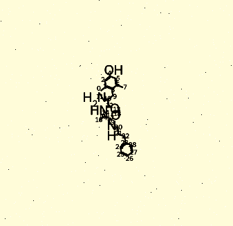 Cc1cc(O)cc(C)c1CC(N)C(=O)N[C@H](C)C(=O)NCCCc1ccccc1